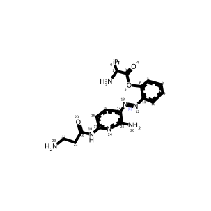 CC(C)C(N)C(=O)Oc1ccccc1/N=N/c1ccc(NC(=O)CCN)nc1N